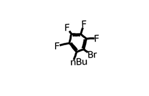 CCCCc1c(F)c(F)c(F)c(F)c1Br